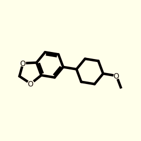 COC1CCC(c2ccc3c(c2)OCO3)CC1